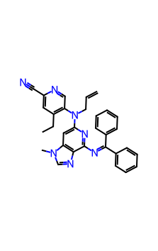 C=CCN(c1cc2c(ncn2C)c(N=C(c2ccccc2)c2ccccc2)n1)c1cnc(C#N)cc1CC